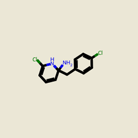 NC1(Cc2ccc(Cl)cc2)C=CC=C(Cl)N1